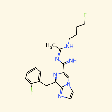 C/C(=N/C(=N)c1cn2ccnc2c(Cc2ccccc2F)n1)NCCCCF